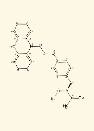 CCO[C@@H](Cc1ccc(OCCN2c3ccccc3Oc3ccccc32)cc1)C(=O)C#N